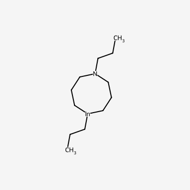 CCCN1CC[CH2][In]([CH2]CC)[CH2]CC1